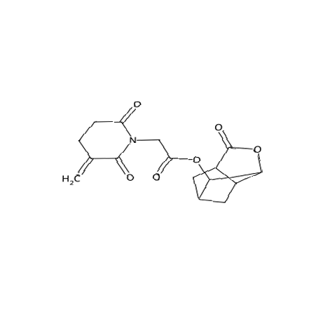 C=C1CCC(=O)N(CC(=O)OC2C3CC4C(=O)OC2C4C3)C1=O